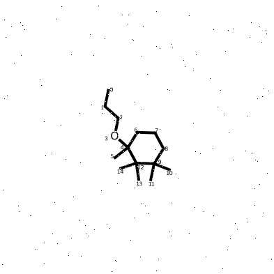 CCCOC1(C)CCCC(C)(C)C1(C)C